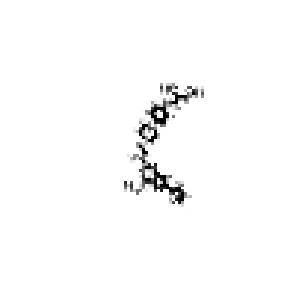 Nc1nc(NCCN2CCN(c3ccc(OCC(O)CO)cc3)CC2)nc2cc(-c3ccco3)nn12